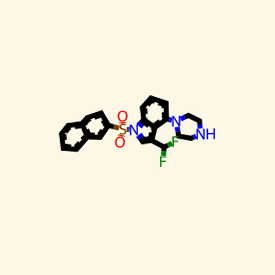 O=S(=O)(c1ccc2ccccc2c1)n1cc(C(F)F)c2c(N3CCNCC3)cccc21